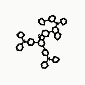 c1ccc(-c2cccc(N(c3ccccc3)c3cc(-c4ccc5sc6c(-c7ccc(N(c8ccccc8)c8ccccc8)cc7)cc(-c7ccc(N(c8ccccc8)c8ccccc8)cc7)cc6c5c4)c4ccccc4c3)c2)cc1